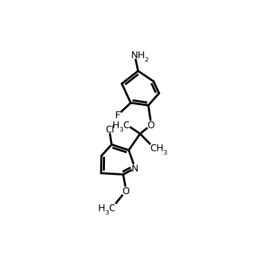 COc1ccc(Cl)c(C(C)(C)Oc2ccc(N)cc2F)n1